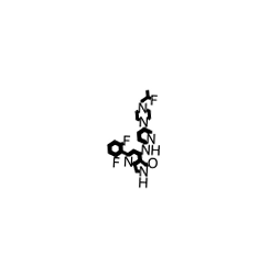 CC(F)CN1CCN(c2ccc(Nc3cc(-c4c(F)cccc4F)nc4c3C(=O)NC4)nc2)CC1